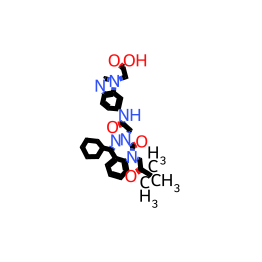 CC(C)(C)C(=O)CN1C(=O)N(CC(=O)Nc2ccc3ncn(CC(=O)O)c3c2)N=C(C2CCCCC2)c2ccccc21